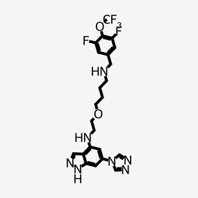 Fc1cc(CNCCCCOCCNc2cc(-n3cnnc3)cc3[nH]ncc23)cc(F)c1OC(F)(F)F